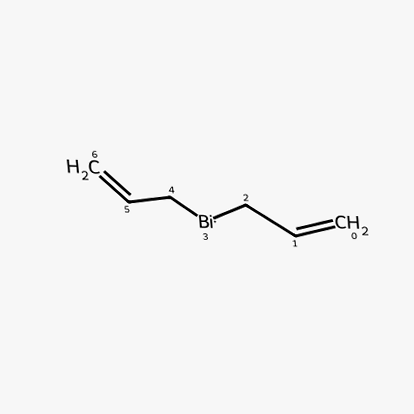 C=C[CH2][Bi][CH2]C=C